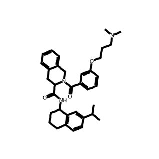 CC(C)c1ccc2c(c1)C(NC(=O)C1Cc3ccccc3CN1C(=O)c1cccc(OCCCN(C)C)c1)CCC2